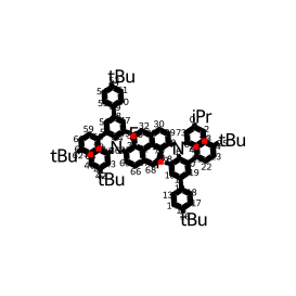 CC(C)c1cccc(N(c2c(F)cc(-c3ccc(C(C)(C)C)cc3)cc2-c2ccc(C(C)(C)C)cc2)c2ccc3ccc4c(N(c5cccc(C(C)(C)C)c5)c5c(F)cc(-c6ccc(C(C)(C)C)cc6)cc5-c5ccc(C(C)(C)C)cc5)ccc5ccc2c3c54)c1